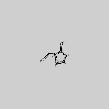 O=[C]n1[c]csc1=O